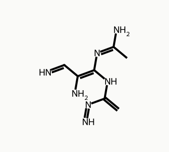 C=C(N=N)NC(/N=C(\C)N)=C(\N)C=N